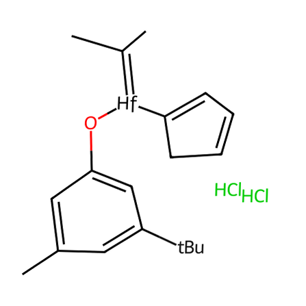 C[C](C)=[Hf]([O]c1cc(C)cc(C(C)(C)C)c1)[C]1=CC=CC1.Cl.Cl